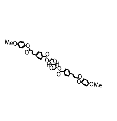 COc1ccc(OC(=O)/C=C/c2ccc(C(=O)O[C@H]3CO[C@H]4[C@@H]3OC[C@H]4OC(=O)c3ccc(/C=C/C(=O)Oc4ccc(OC)cc4)cc3)cc2)cc1